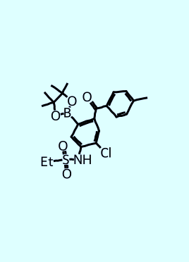 CCS(=O)(=O)Nc1cc(B2OC(C)(C)C(C)(C)O2)c(C(=O)c2ccc(C)cc2)cc1Cl